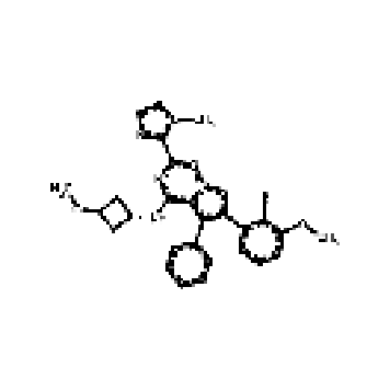 COc1cccc(-c2cn3nc(-c4nccn4C)nc(N[C@H]4C[C@H](OC)C4)c3c2-c2ccccc2)c1F